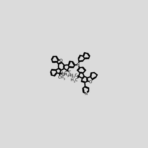 CC1(C)c2cc(N(c3ccc4c(c3)C(C)(C)c3c5c(c6c(oc7ccccc76)c3-4)-c3ccccc3C5(C)C)c3ccc4ccccc4c3)ccc2-c2c1cc(-c1ccncc1)c1oc3c(c21)=CCCC=3